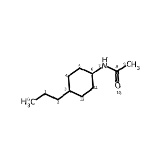 CCCC1CCC(NC(C)=O)CC1